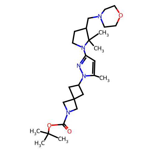 Cc1cc(N2CCC(CN3CCOCC3)C2(C)C)nn1C1CC2(C1)CN(C(=O)OC(C)(C)C)C2